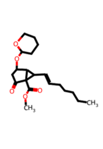 CCCCCC=CC1C2C(OC3CCCCO3)CC(=O)C12C(=O)OC